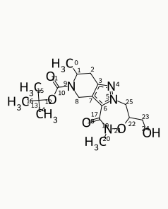 CC1Cc2nn3c(c2CN1C(=O)OC(C)(C)C)C(=O)N(C)OC(CO)C3